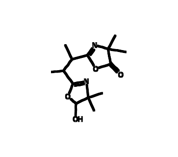 CC(C1=NC(C)(C)C(=O)O1)C(C)C1=NC(C)(C)C(O)O1